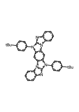 CC(C)(C)c1ccc(-n2c3cc4c(cc3n3c5ccccc5nc23)n(-c2ccc(C(C)(C)C)cc2)c2nc3ccccc3n42)cc1